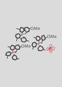 COc1cccc(C[P+](c2cccc(C)c2)(c2cccc(C)c2)c2cccc(C)c2)c1.COc1cccc(C[P+](c2cccc(C)c2)(c2cccc(C)c2)c2cccc(C)c2)c1.COc1cccc(C[P+](c2cccc(C)c2)(c2cccc(C)c2)c2cccc(C)c2)c1.O=P([O-])([O-])[O-]